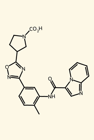 Cc1ccc(-c2noc(C3CCN(C(=O)O)C3)n2)cc1NC(=O)c1cnc2ccccn12